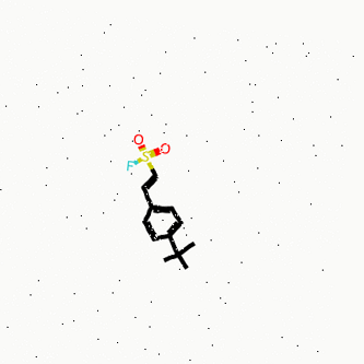 CC(C)(C)c1ccc(/C=C/S(=O)(=O)F)cc1